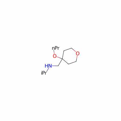 CCCOC1(CNC(C)C)CCOCC1